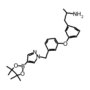 CC(N)Cc1cccc(Oc2cccc(Cn3cc(B4OC(C)(C)C(C)(C)O4)cn3)c2)c1